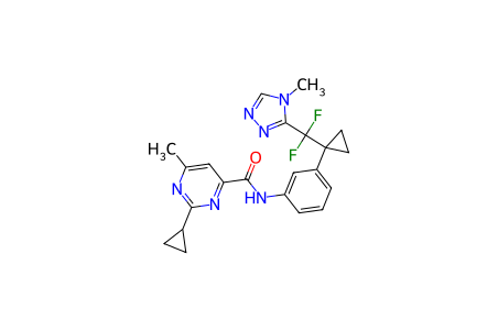 Cc1cc(C(=O)Nc2cccc(C3(C(F)(F)c4nncn4C)CC3)c2)nc(C2CC2)n1